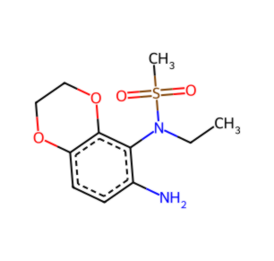 CCN(c1c(N)ccc2c1OCCO2)S(C)(=O)=O